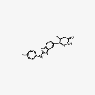 Cc1ccc(Nc2nc3cc(C4=NNC(=O)CC4C)ccc3o2)cc1